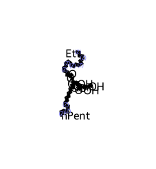 CC/C=C\C/C=C\C/C=C\C/C=C\C/C=C\C/C=C\CCC(=O)OC[C@H](COP(=O)(O)OC[C@@H](O)CO)OC(=O)CCCCCC/C=C\C/C=C\C/C=C\CCCCC